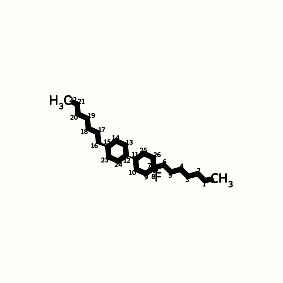 CCCCCCCC1(F)CCC([C@H]2CC[C@H](CCCCCCC)CC2)CC1